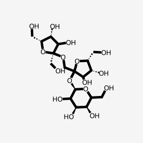 OCC1O[C@H](OC2(CO[C@@]3(CO)O[C@H](CO)[C@H](O)C3O)O[C@H](CO)[C@H](O)C2O)C(O)[C@H](O)[C@@H]1O